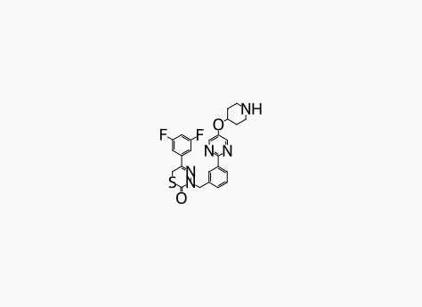 O=C1SCC(c2cc(F)cc(F)c2)=NN1Cc1cccc(-c2ncc(OC3CCNCC3)cn2)c1